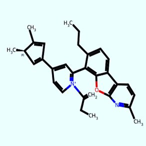 C=C(CC)[n+]1ccc(C2=C[C@@H](C)C(C)=C2)cc1-c1c(CCC)ccc2c1oc1nc(C)ccc12